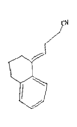 N#CCCC=C1CCCc2ccccc21